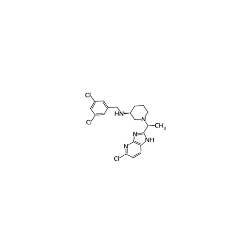 CC(c1nc2nc(Cl)ccc2[nH]1)N1CCC[C@H](NCc2cc(Cl)cc(Cl)c2)C1